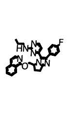 CCCNc1nccc(-c2c(-c3ccc(F)cc3)nc3n2C(COc2nccc4ccccc24)CC3)n1